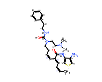 C\C=C/C=C(\C=C/CCN(CCN(C)C)C(=O)NCCc1ccccc1)C(=O)Nc1cscc1N